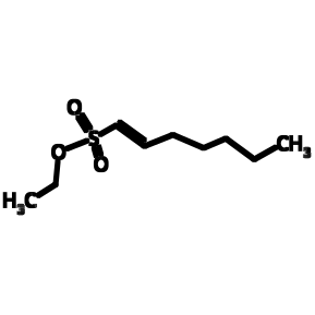 CCCCC/C=C/S(=O)(=O)OCC